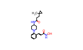 CC1(CCC(=O)NC2CCN(c3ccccc3/C=C/C(=O)NO)CC2)CC1